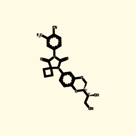 N#Cc1ccc(N2C(=O)C3(CCC3)N(c3ccc4c(c3)OC[C@H]([C@H](O)CO)O4)C2=S)cc1C(F)(F)F